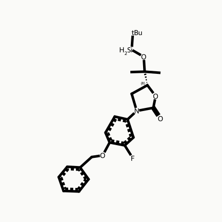 CC(C)(C)[SiH2]OC(C)(C)[C@H]1CN(c2ccc(OCc3ccccc3)c(F)c2)C(=O)O1